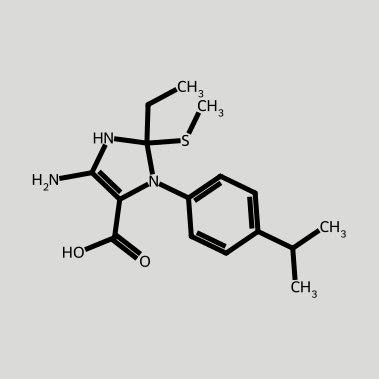 CCC1(SC)NC(N)=C(C(=O)O)N1c1ccc(C(C)C)cc1